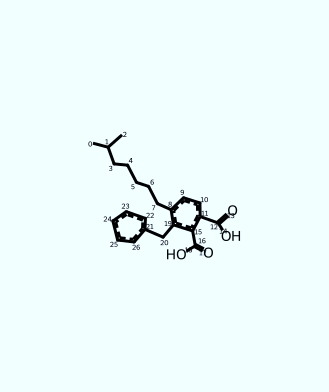 CC(C)CCCCCc1ccc(C(=O)O)c(C(=O)O)c1Cc1ccccc1